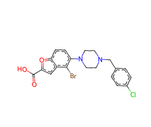 O=C(O)c1cc2c(Br)c(N3CCN(Cc4ccc(Cl)cc4)CC3)ccc2o1